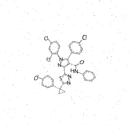 O=C(Nc1ccccc1)c1c(-c2nnc(C3(c4ccc(Cl)cc4)CC3)s2)nn(-c2ccc(Cl)cc2Cl)c1-c1ccc(Cl)cc1